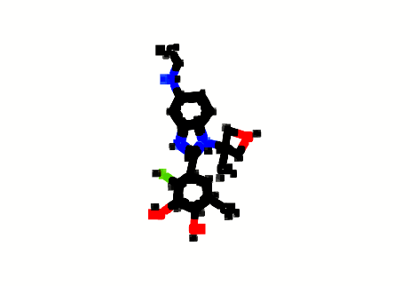 CCNc1ccc2c(c1)nc(-c1cc(C)c(O)c(O)c1F)n2C1(C)COC1